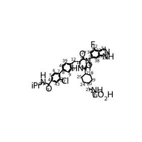 CC(C)NC(=O)c1ccc(-c2ccc(C[C@H](NC(=O)[C@H]3CC[C@H](CNC(=O)O)CC3)C(=O)Nc3cc(F)c4cn[nH]c4c3)cc2)c(Cl)c1